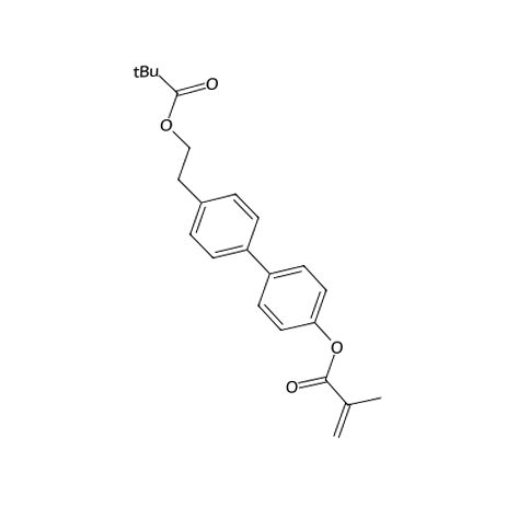 C=C(C)C(=O)Oc1ccc(-c2ccc(CCOC(=O)C(C)(C)C)cc2)cc1